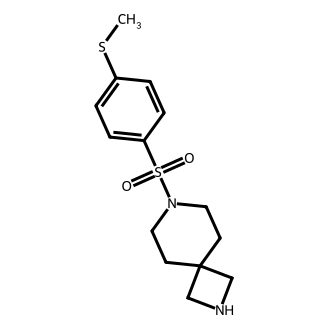 CSc1ccc(S(=O)(=O)N2CCC3(CC2)CNC3)cc1